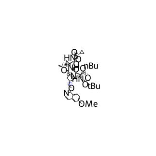 C=C[C@@H]1C[C@]1(NC(=O)[C@@H]1C/C(=C/Oc2nccc3cc(OC)ccc23)CN1C(=O)[C@@H](NC(=O)OC(C)(C)C)[C@@H](C)OCCCC)C(=O)NS(=O)(=O)C1CC1